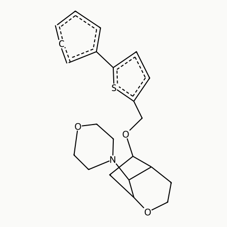 c1ccc(-c2ccc(COC3CC4OCCC3C4N3CCOCC3)s2)cc1